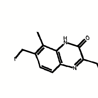 CCc1nc2ccc(CI)c(C)c2[nH]c1=O